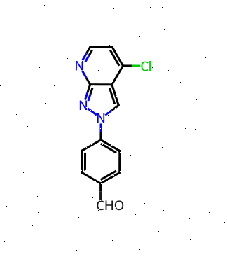 O=Cc1ccc(-n2cc3c(Cl)ccnc3n2)cc1